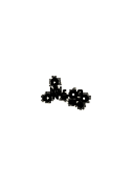 C1=C(c2ccc3c(c2)C2(c4ccccc4O3)c3ccccc3-c3ccccc32)SC(c2nc(-c3ccccc3)nc(-c3ccccc3)n2)C1